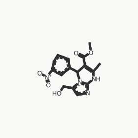 COC(=O)C1=C(C)Nc2ncc(CO)n2C1c1cccc([N+](=O)[O-])c1